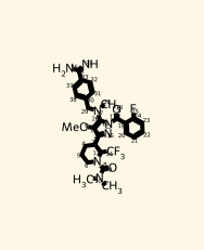 COc1c(C2CCCN(C(=O)N(C)C)C2C(F)(F)F)nn(C(=O)c2ccccc2F)c1N(C)Cc1ccc(C(=N)N)cc1